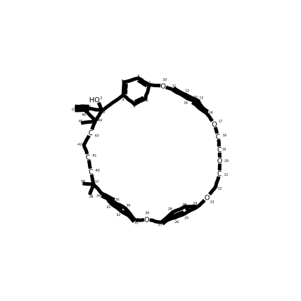 C#CC1(O)c2ccc(cc2)Oc2ccc(cc2)OCCOCCOc2ccc(cc2)Oc2ccc(cc2)C(C)(C)CCCCC1(C)C